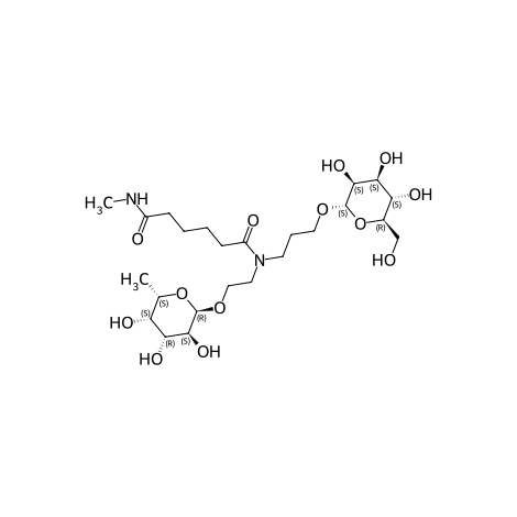 CNC(=O)CCCCC(=O)N(CCCO[C@H]1O[C@H](CO)[C@@H](O)[C@H](O)[C@@H]1O)CCO[C@@H]1O[C@@H](C)[C@@H](O)[C@@H](O)[C@@H]1O